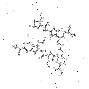 CCc1nc(C)sc1C(=O)Nc1nc2c(n1C/C=C/Cn1c(NC(=O)c3cc(C)nn3CC)nc3cc(C(N)=O)cc(OCCCN4CCN(C(=O)OC)CC4)c31)C(SC)CC(C(N)=O)=C2